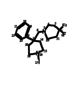 FC1(F)CCN(CC2(c3ccccc3)CCN(I)CC2)CC1